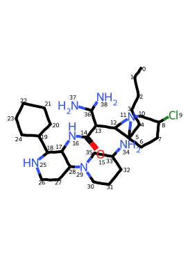 CCCCCC12CCC(Cl)CN1C2C(C(=O)NC1C(C2CCCCC2)NCCC1N1CCCC(N)C1)C(N)N